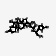 CCC(NC(=O)C[C@@H](C)C1CC[C@H]2C3[C@H](O)[C@H](O)C4CC(=O)CCC4(C)[C@H]3CCC12C)c1ccc(Cl)s1